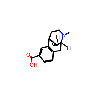 CN1CCC23CCCC[C@H]2[C@H]1Cc1ccc(C(=O)O)cc13